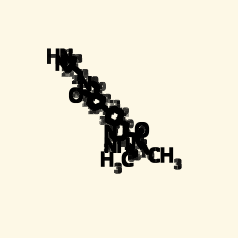 CCCN(CCC)C(=O)C1=Cc2ccc(-c3ccc4c(=O)n(CCc5cn[nH]c5)ccc4c3)cc2N=C(N)C1